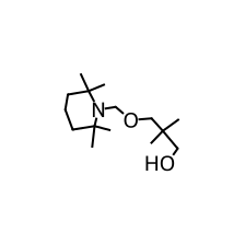 CC(C)(CO)COCN1C(C)(C)CCCC1(C)C